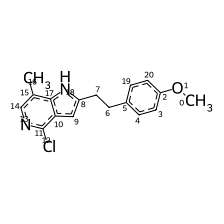 COc1ccc(CCc2cc3c(Cl)ncc(C)c3[nH]2)cc1